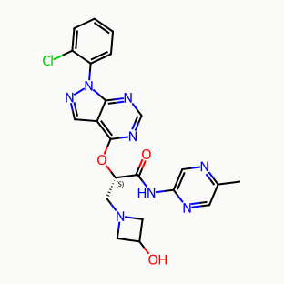 Cc1cnc(NC(=O)[C@H](CN2CC(O)C2)Oc2ncnc3c2cnn3-c2ccccc2Cl)cn1